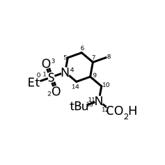 CCS(=O)(=O)N1CCC(C)C(CN(C(=O)O)C(C)(C)C)C1